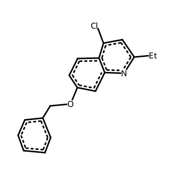 CCc1cc(Cl)c2ccc(OCc3ccccc3)cc2n1